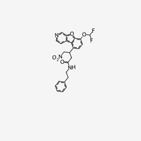 O=C(CC(C[N+](=O)[O-])c1ccc(OC(F)F)c2oc3cnccc3c12)NCCc1ccccc1